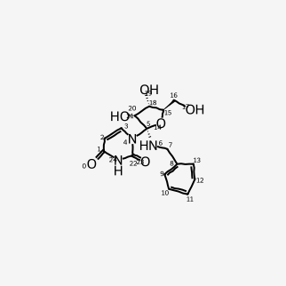 O=c1ccn([C@]2(NCc3ccccc3)O[C@H](CO)[C@@H](O)[C@H]2O)c(=O)[nH]1